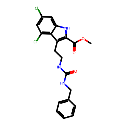 COC(=O)c1[nH]c2cc(Cl)cc(Cl)c2c1CCNC(=O)NCc1ccccc1